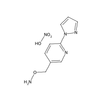 NOCc1ccc(-n2cccn2)nc1.O=[N+]([O-])O